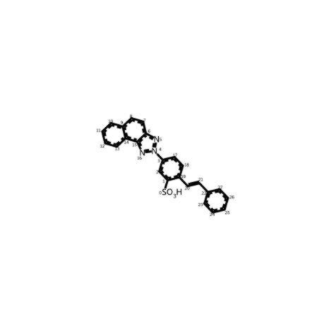 O=S(=O)(O)c1cc(-n2nc3ccc4ccccc4c3n2)ccc1/C=C/c1ccccc1